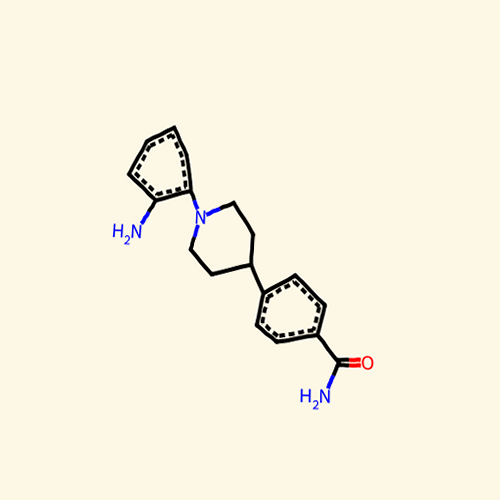 NC(=O)c1ccc(C2CCN(c3ccccc3N)CC2)cc1